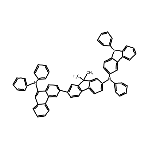 CC1(C)c2cc(-c3ccc4c(N(c5ccccc5)c5ccccc5)cc5ccccc5c4c3)ccc2-c2ccc(N(c3ccccc3)c3ccc4c(c3)c3ccccc3n4-c3ccccc3)cc21